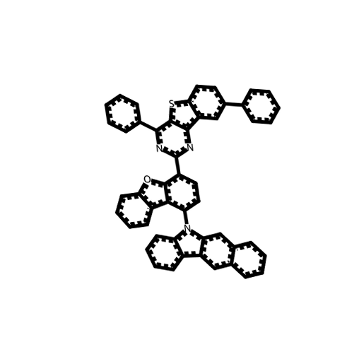 c1ccc(-c2ccc3sc4c(-c5ccccc5)nc(-c5ccc(-n6c7ccccc7c7cc8ccccc8cc76)c6c5oc5ccccc56)nc4c3c2)cc1